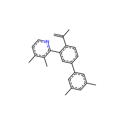 C=C(C)c1ccc(-c2cc(C)cc(C)c2)cc1-c1nccc(C)c1C